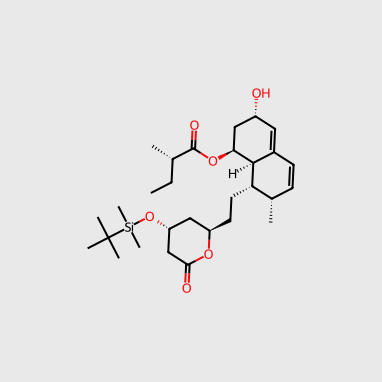 CC[C@H](C)C(=O)O[C@H]1C[C@H](O)C=C2C=C[C@H](C)[C@H](CC[C@@H]3C[C@@H](O[Si](C)(C)C(C)(C)C)CC(=O)O3)[C@H]21